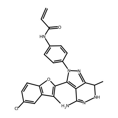 C=CC(=O)Nc1ccc(-n2nc3c(c2-c2oc4ccc(Cl)cc4c2C)C(N)=NNC3C)cc1